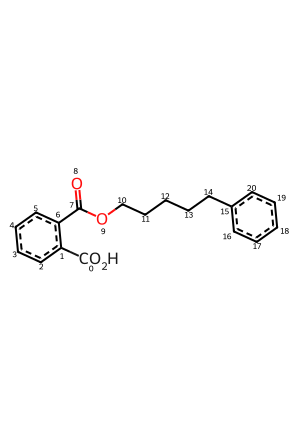 O=C(O)c1ccccc1C(=O)OCCCCCc1ccccc1